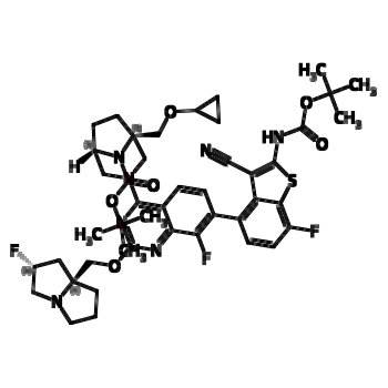 CC(C)(C)OC(=O)Nc1sc2c(F)ccc(-c3ccc4c(N5C[C@@H]6CC[C@](COC7CC7)(C5)N6C(=O)OC(C)(C)C)nc(OC[C@@]56CCCN5C[C@H](F)C6)nc4c3F)c2c1C#N